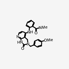 CNC(=O)c1ccccc1Nc1ccnc2c1CN(Cc1ccc(OC)cc1)C(=O)N2